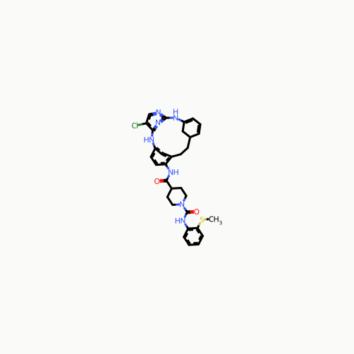 CSc1ccccc1NC(=O)N1CCC(C(=O)Nc2ccc3cc2CCC2C=CC=C(C2)Nc2ncc(Cl)c(n2)N3)CC1